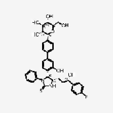 OC[C@H]1O[C@@H](c2ccc(-c3ccc([C@@H]4[C@H](CC[C@H](O)c5ccc(F)cc5)NC(=S)N4c4ccccc4)c(O)c3)cc2)[C@H](O)[C@@H](O)[C@@H]1O